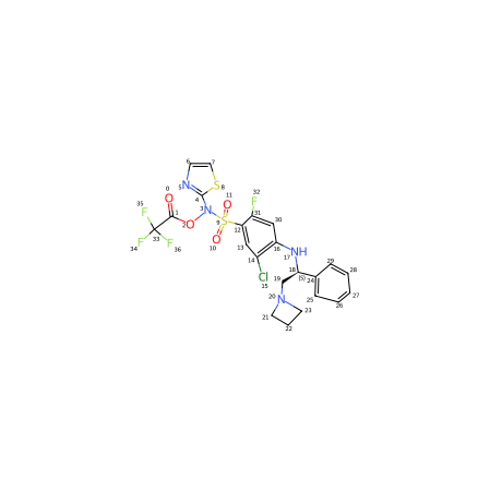 O=C(ON(c1nccs1)S(=O)(=O)c1cc(Cl)c(N[C@H](CN2CCC2)c2ccccc2)cc1F)C(F)(F)F